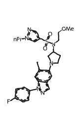 CCCn1cc(S(=O)(=O)N(CCOC)C2CCN(c3cc4cnn(-c5ccc(F)cc5)c4cc3C)C2)cn1